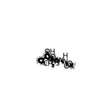 CSc1sc(/N=C/NC(=O)OC(C)(C)C)cc1S(=O)(=O)c1cc(O)cc(-c2ccccc2Cl)c1